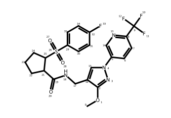 COc1nn(-c2ccc(C(F)(F)F)nc2)cc1CNC(=O)C1CCCC1S(=O)(=O)c1ccc(F)cc1